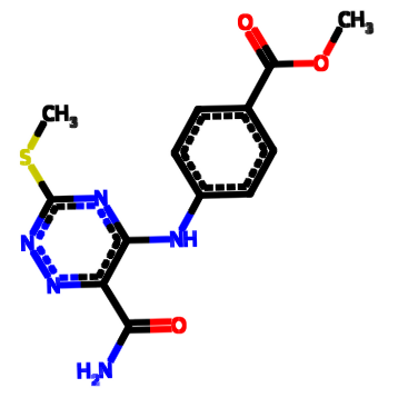 COC(=O)c1ccc(Nc2nc(SC)nnc2C(N)=O)cc1